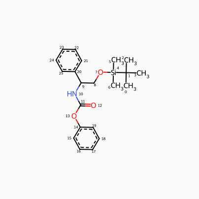 CC(C)(C)[Si](C)(C)OCC(NC(=O)Oc1ccccc1)c1ccccc1